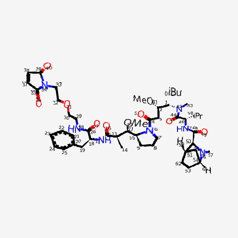 CC[C@H](C)[C@@H]([C@H](CC(=O)N1CCC[C@H]1[C@H](OC)[C@@H](C)C(=O)N[C@@H](Cc1ccccc1)C(=O)NCCOCCN1C(=O)C=CC1=O)OC)N(C)C(=O)[C@@H](NC(=O)[C@@H]1[C@H]2CC[C@H](C2)N1C)C(C)C